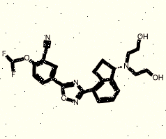 N#Cc1cc(-c2nc(-c3cccc4c3CC[C@@H]4N(CCO)CCO)no2)ccc1OC(F)F